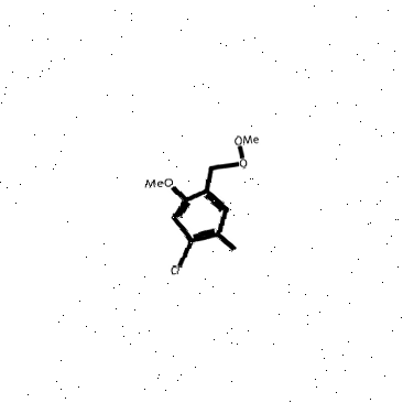 COOCc1cc(C)c(Cl)cc1OC